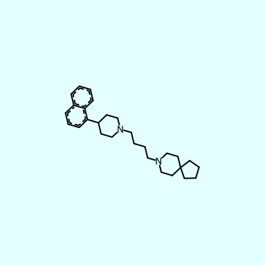 c1ccc2c(C3CCN(CCCCN4CCC5(CCCC5)CC4)CC3)cccc2c1